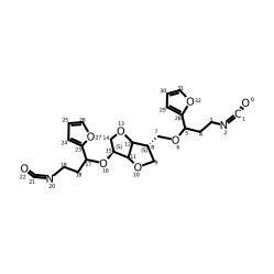 O=C=NCCC(OC[C@@H]1COC2C1OC[C@@H]2OC(CCN=C=O)c1ccco1)c1ccco1